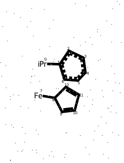 CC(C)c1ccccc1.[Fe][CH]1C=CC=C1